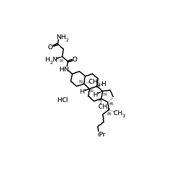 CC(C)CCC[C@@H](C)[C@H]1CC[C@H]2[C@@H]3CCC4CC(NC(=O)[C@@H](N)CC(N)=O)CC[C@]4(C)[C@H]3CC[C@]12C.Cl